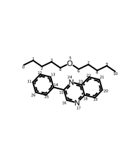 CCCCCOCCCCC.c1ccc(-c2cnc3ccccc3n2)cc1